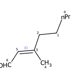 CCCCC/C(C)=C/C=O